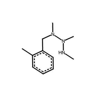 CNN(C)N(C)Cc1ccccc1C